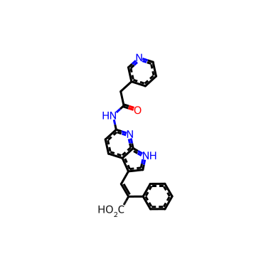 O=C(Cc1cccnc1)Nc1ccc2c(C=C(C(=O)O)c3ccccc3)c[nH]c2n1